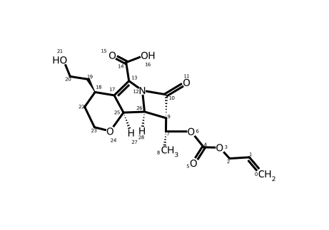 C=CCOC(=O)O[C@H](C)[C@H]1C(=O)N2C(C(=O)O)=C3[C@H](CCO)CCO[C@@H]3[C@H]12